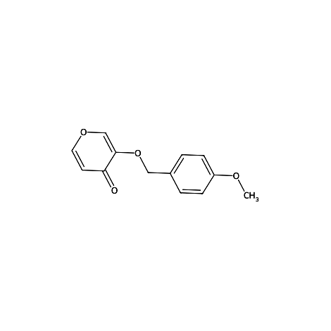 COc1ccc(COc2coccc2=O)cc1